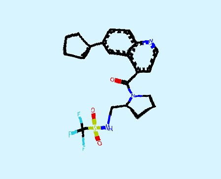 O=C(c1ccnc2ccc(C3=CCCC3)cc12)N1CCCC1CNS(=O)(=O)C(F)(F)F